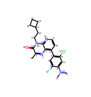 Cc1nc2c(-c3cc(F)c(N(C)C)cc3Cl)ccnc2n(CCC2CCC2)c1=O